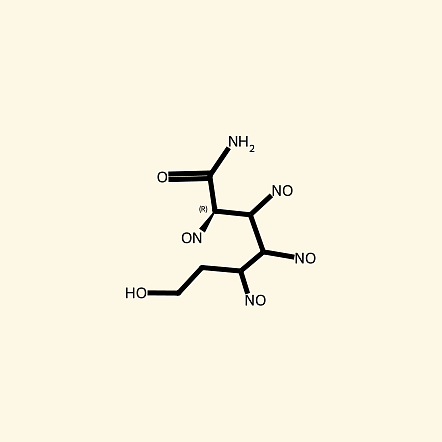 NC(=O)[C@H](N=O)C(N=O)C(N=O)C(CCO)N=O